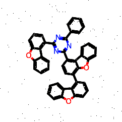 c1ccc(-c2nc(-c3cccc4oc5ccccc5c34)nc(-c3ccc(-c4cccc5oc6ccccc6c45)c4oc5ccccc5c34)n2)cc1